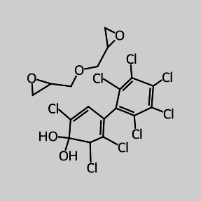 C(OCC1CO1)C1CO1.OC1(O)C(Cl)=CC(c2c(Cl)c(Cl)c(Cl)c(Cl)c2Cl)=C(Cl)C1Cl